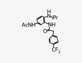 CC(=O)Nc1ccc(NC(C)C)c(NC(=O)Cc2ccc(C(F)(F)F)cc2)c1